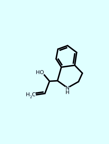 C=CC(O)C1NCCc2ccccc21